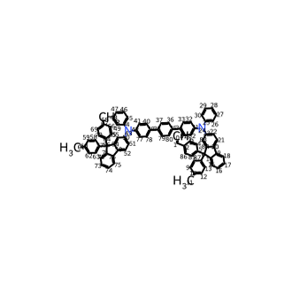 C=Cc1ccc(C2(c3ccc(C)cc3)c3ccccc3-c3ccc(N(c4ccccc4)c4ccc(-c5ccc(-c6ccc(N(c7ccccc7)c7ccc8c(c7)C(c7ccc(C)cc7)(c7ccc(C)cc7)c7ccccc7-8)cc6)cc5)cc4)cc32)cc1